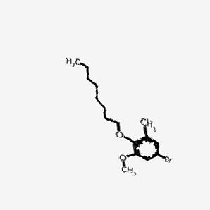 CCCCCCCCOc1c(C)cc(Br)cc1OC